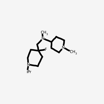 CC(C)N1CCC(F)(CN(C)C2CCN(C)CC2)CC1